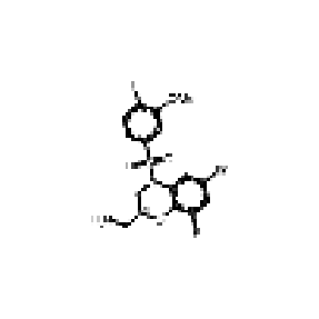 COc1cc(S(=O)(=O)N2C[C@H](CN)Oc3c(F)cc(Br)cc32)ccc1F